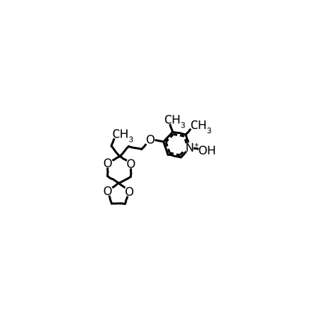 CCC1(CCOc2cc[n+](O)c(C)c2C)OCC2(CO1)OCCO2